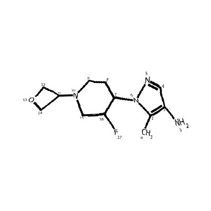 Cc1c(N)cnn1C1CCN(C2COC2)CC1F